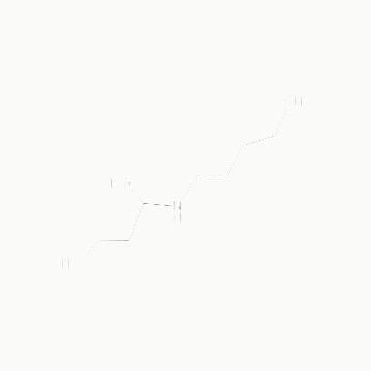 CCCCCNC(O)CCC